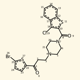 O=C(CCN1CCN(C(=O)c2sc3ccccc3c2Cl)CC1)c1ccc(Br)s1